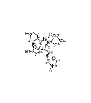 CCc1ccc([C@H]2C(c3ccc(F)cc3F)=NN(c3ccc(C)cc3P)[C@]2(C)C(=O)NS[C@H]2CN(C)CCO2)o1